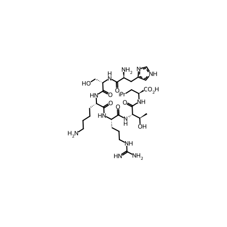 CC(C)C[C@H](NC(=O)[C@@H](NC(=O)[C@H](CCCNC(=N)N)NC(=O)[C@H](CCCCN)NC(=O)[C@H](CO)NC(=O)[C@@H](N)Cc1c[nH]cn1)[C@@H](C)O)C(=O)O